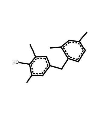 Cc1ccc(Cc2cc(C)c(O)c(C)c2)c(C)c1